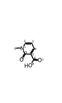 Cn1cccc(C(=O)O)c1=O